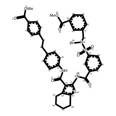 COC(=O)c1ccc(CCc2ccc(NC(=O)c3c(NC(=O)c4cccc(S(=O)(=O)N(Cc5cccc(C(=O)OC)c5)C(C)C)c4)sc4c3CCCC4)cc2)cc1